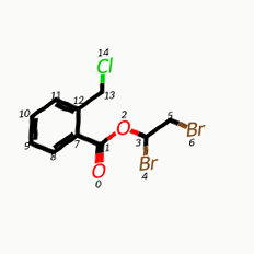 O=C(OC(Br)CBr)c1ccccc1CCl